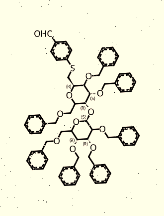 O=Cc1ccc(SC[C@@H]2OC(COCc3ccccc3)[C@@H](O[C@@H]3OC(COCc4ccccc4)[C@@H](OCc4ccccc4)[C@@H](OCc4ccccc4)C3OCc3ccccc3)[C@@H](OCc3ccccc3)C2OCc2ccccc2)cc1